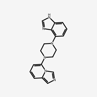 c1cc(N2CCN(c3cccc4cncn34)CC2)c2nc[nH]c2c1